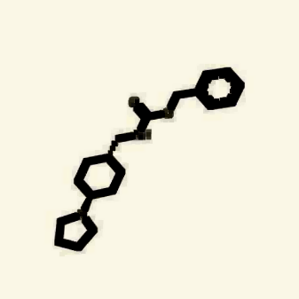 O=C(NC[C@H]1CC[C@H](N2CCCC2)CC1)OCc1ccccc1